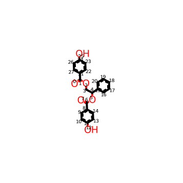 O=C(OCC(OC(=O)c1ccc(O)cc1)c1ccccc1)c1ccc(O)cc1